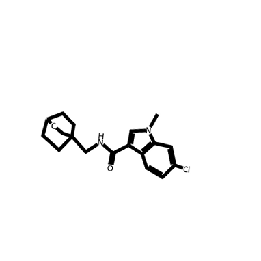 Cn1cc(C(=O)NCC23CCC(CC2)CC3)c2ccc(Cl)cc21